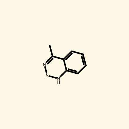 CC1=NSNc2ccccc21